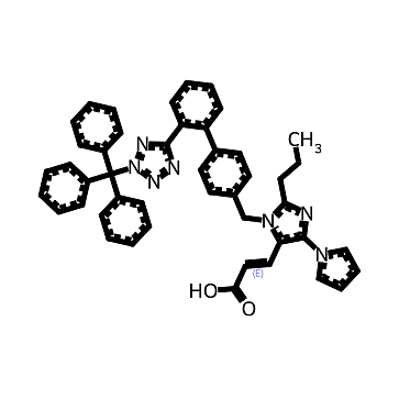 CCCc1nc(-n2cccc2)c(/C=C/C(=O)O)n1Cc1ccc(-c2ccccc2-c2nnn(C(c3ccccc3)(c3ccccc3)c3ccccc3)n2)cc1